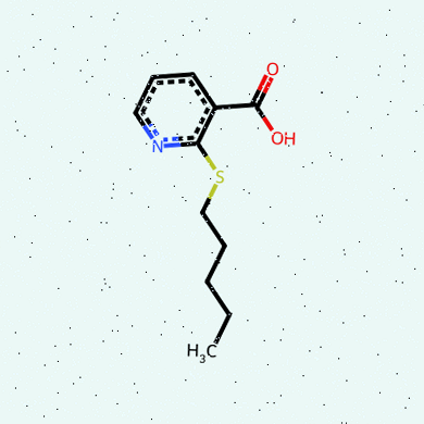 CCCCCSc1ncccc1C(=O)O